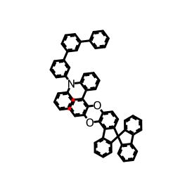 c1ccc(-c2cccc(-c3cccc(N(c4ccccc4)c4ccccc4-c4cccc5c4Oc4ccc6c(c4O5)-c4ccccc4C64c5ccccc5-c5ccccc54)c3)c2)cc1